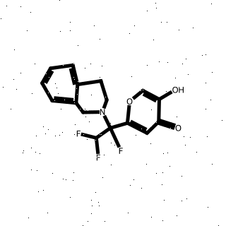 O=c1cc(C(F)(C(F)F)N2CCc3ccccc3C2)occ1O